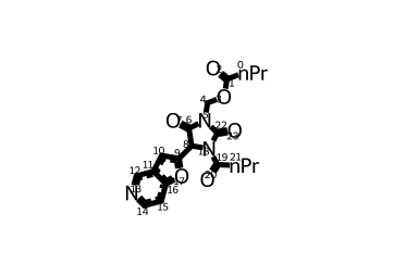 CCCC(=O)OCN1C(=O)C(c2cc3cnccc3o2)N(C(=O)CCC)C1=O